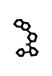 c1ccc(-c2ccccc2Nc2cccc(-c3ccc4ccccc4c3)c2)cc1